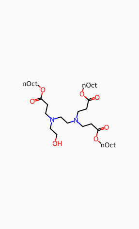 CCCCCCCCOC(=O)CCN(CCO)CCN(CCC(=O)OCCCCCCCC)CCC(=O)OCCCCCCCC